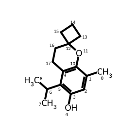 Cc1cc(O)c(C(C)C)c2c1OC1(CCC1)CC2